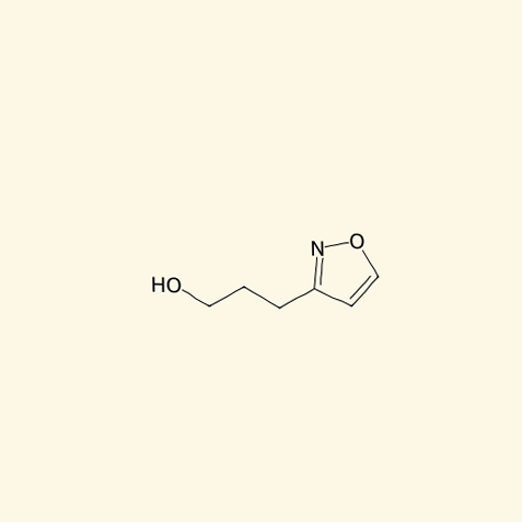 OCCCc1ccon1